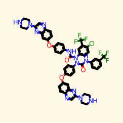 O=C(Nc1cccc(C(F)(F)F)c1)N(c1ccc(Oc2ccc3ncc(N4CCNCC4)nc3c2)cc1)N(C(=O)Nc1ccc(Oc2ccc3ncc(N4CCNCC4)nc3c2)cc1)c1ccc(Cl)c(C(F)(F)F)c1